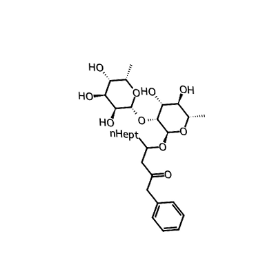 CCCCCCCC(CC(=O)Cc1ccccc1)O[C@@H]1O[C@@H](C)[C@H](O)[C@@H](O)[C@H]1O[C@H]1O[C@@H](C)[C@@H](O)[C@H](O)[C@@H]1O